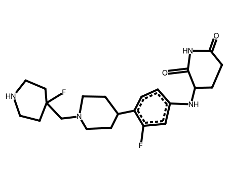 O=C1CCC(Nc2ccc(C3CCN(CC4(F)CCNCC4)CC3)c(F)c2)C(=O)N1